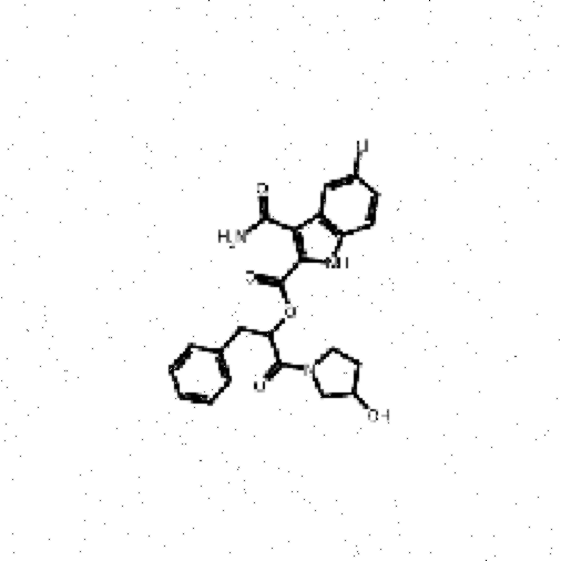 NC(=O)c1c(C(=O)OC(Cc2ccccc2)C(=O)N2CCC(O)C2)[nH]c2ccc(Cl)cc12